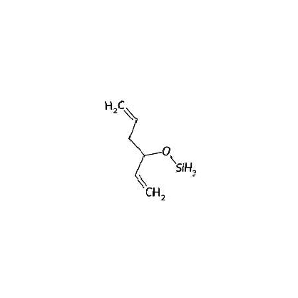 C=CCC(C=C)O[SiH3]